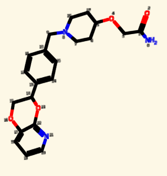 NC(=O)COC1CCN(Cc2ccc(C3COc4cccnc4O3)cc2)CC1